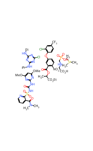 CCNc1nc(Cl)nc(NC(C)C)n1.CCOC(=O)C(C)OC(=O)c1cc(Oc2ccc(C(F)(F)F)cc2Cl)ccc1[N+](=O)[O-].COc1cc(OC)nc(NC(=O)NS(=O)(=O)c2ncccc2C(=O)N(C)C)n1.C[S+](C)C.O=C(O)CNCP(=O)([O-])O